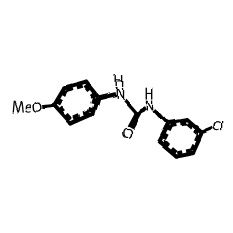 COc1ccc(NC(=O)Nc2cccc(Cl)c2)cc1